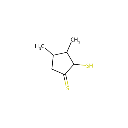 CC1CC(=S)C(S)C1C